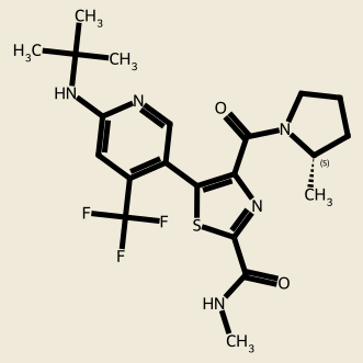 CNC(=O)c1nc(C(=O)N2CCC[C@@H]2C)c(-c2cnc(NC(C)(C)C)cc2C(F)(F)F)s1